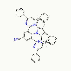 Cc1ccc2c3ccc(C)cc3n(-c3c(-c4nc(-c5ccccc5)cc(-c5ccccc5)n4)cc(C#N)cc3-c3nc(-c4ccccc4)cc(-c4ccccc4)n3)c2c1